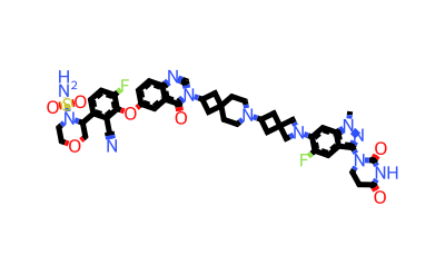 Cn1nc(N2CCC(=O)NC2=O)c2cc(F)c(N3CC4(CC(N5CCC6(CC5)CC(n5cnc7ccc(Oc8c(F)ccc(C9COCCN9S(N)(=O)=O)c8C#N)cc7c5=O)C6)C4)C3)cc21